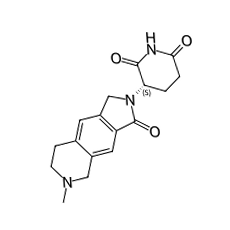 CN1CCc2cc3c(cc2C1)C(=O)N([C@H]1CCC(=O)NC1=O)C3